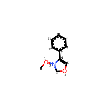 CON1COC=C1c1ccccc1